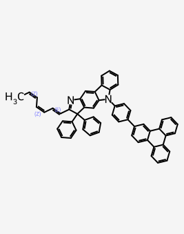 C\C=C/C=C\C=C\C1=Nc2cc3c4ccccc4n(-c4ccc(-c5ccc6c7ccccc7c7ccccc7c6c5)cc4)c3cc2C1(c1ccccc1)c1ccccc1